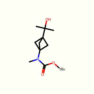 CN(C(=O)OC(C)(C)C)C12CC(C(C)(C)O)(C1)C2